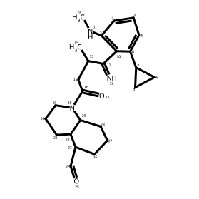 CNc1cccc(C2CC2)c1C(=N)C(C)CC(=O)N1CCCC2C(C=O)CCCC21